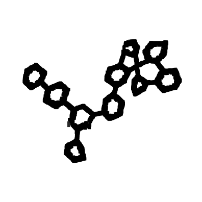 c1ccc(C2=NC(c3cccc(-c4ccc5c(c4)C4(c6ccccc6-c6ccccc6-c6ccccc64)c4ccccc4-5)c3)CC(c3ccc(-c4ccccc4)cc3)=N2)cc1